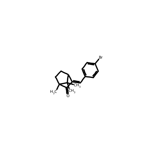 CC12CCC(C(=Cc3ccc(Br)cc3)C1=O)C2(C)C